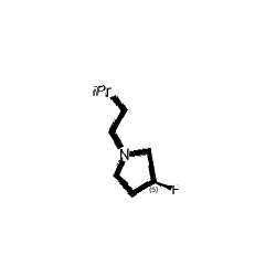 CC(C)CCN1CC[C@H](F)C1